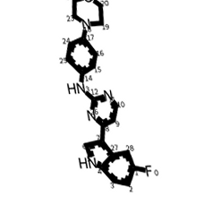 Fc1ccc2[nH]cc(-c3ccnc(Nc4ccc(N5CCOCC5)cc4)n3)c2c1